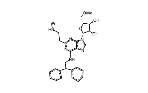 COC[C@H]1O[C@@H](n2cnc3c(NCC(c4ccccc4)c4ccccc4)nc(CCNC(C)C)nc32)[C@H](O)[C@@H]1O